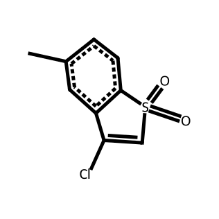 Cc1ccc2c(c1)C(Cl)=CS2(=O)=O